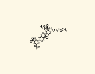 COCCOCOc1ccc(N2CCc3cc(-c4cc(C(=O)O)cc(C(F)(F)F)c4)ccc3C2=O)cc1NS(C)(=O)=O